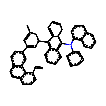 C=Cc1cccc2ccc3ccc(C4=CC(C5=c6ccccc6=C(N(c6ccccc6)c6cccc7ccccc67)C6CC=CC=C56)CC(C)=C4)cc3c12